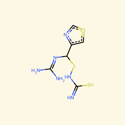 N=C(S)NSC(N=C(N)N)c1cscn1